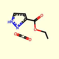 CCOC(=O)c1cc[nH]n1.O=C=O